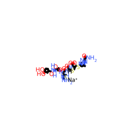 Cc1cc(SCC2=C(C(=O)[O-])N3C(=O)[C@@H](NC(=O)/C(=N\OC(C)(C)C(=O)NNC(=O)c4ccc(O)c(O)c4)c4csc(N)n4)[C@H]3SC2)nc2nc(C(N)=O)nn12.[Na+]